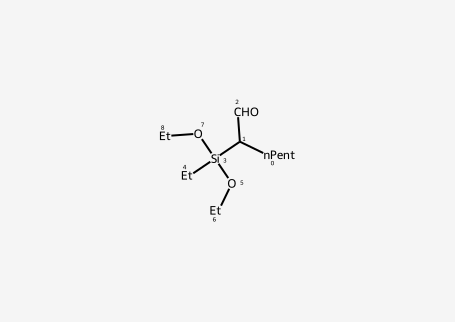 CCCCCC(C=O)[Si](CC)(OCC)OCC